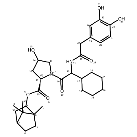 CC1(C)C2CCC1(C)C(OC(=O)[C@H]1CC(O)CN1C(=O)C(NC(=O)Cc1ccc(O)c(O)c1)C1CCCCC1)C2